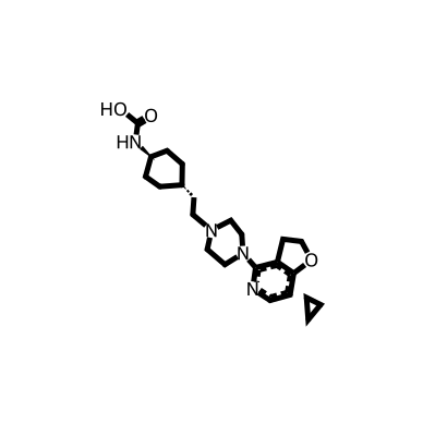 C1CC1.O=C(O)N[C@H]1CC[C@H](CCN2CCN(c3nccc4c3CCO4)CC2)CC1